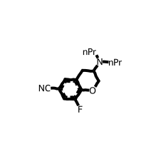 CCCN(CCC)C1COc2c(F)cc(C#N)cc2C1